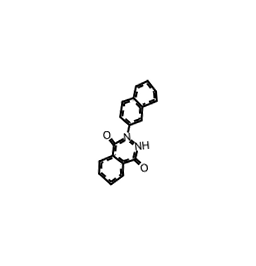 O=c1[nH]n(-c2ccc3ccccc3c2)c(=O)c2ccccc12